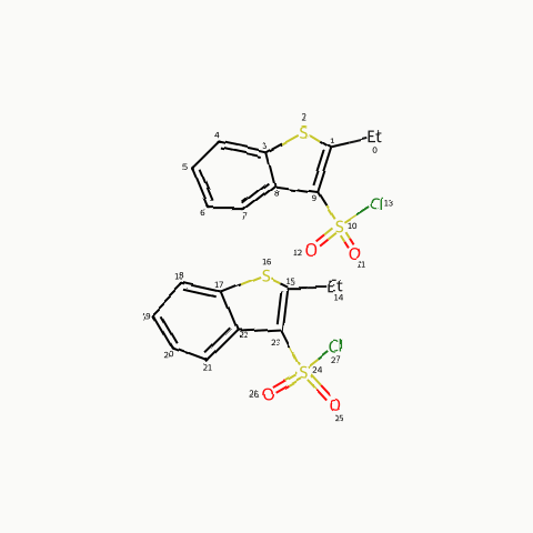 CCc1sc2ccccc2c1S(=O)(=O)Cl.CCc1sc2ccccc2c1S(=O)(=O)Cl